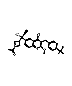 C#CC(O)(c1ccc2nc(OC)c(Cc3ccc(C(C)(F)F)cc3)c(Cl)c2c1)C1CN(C(C)=O)C1